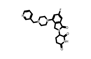 O=C1CCC(N2Cc3c(cc(F)cc3N3CCN(Cc4cccnc4)CC3)C2=O)C(=O)N1